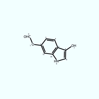 O=COc1ccc2c(O)c[nH]c2c1